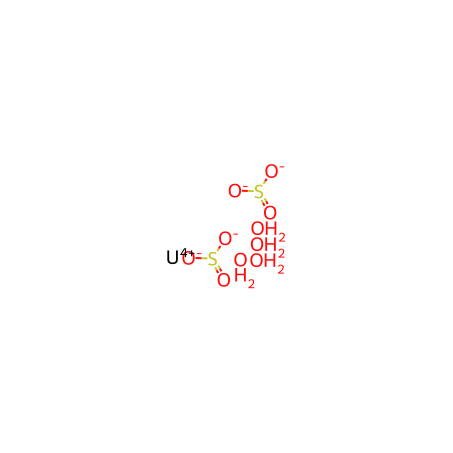 O.O.O.O.O=S([O-])[O-].O=S([O-])[O-].[U+4]